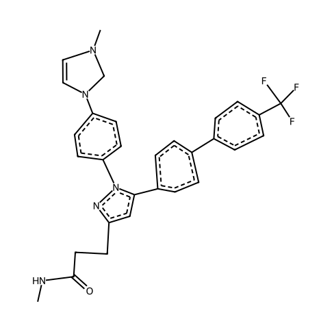 CNC(=O)CCc1cc(-c2ccc(-c3ccc(C(F)(F)F)cc3)cc2)n(-c2ccc(N3C=CN(C)C3)cc2)n1